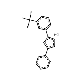 Cl.FC(F)(F)c1cccc(-n2ccc(-c3ccccn3)c2)c1